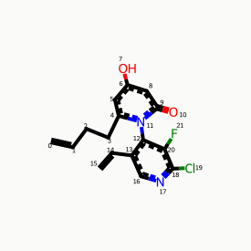 C=CCCc1cc(O)cc(=O)n1-c1c(C=C)cnc(Cl)c1F